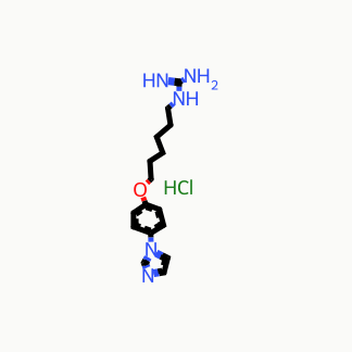 Cl.N=C(N)NCCCCCCOc1ccc(-n2ccnc2)cc1